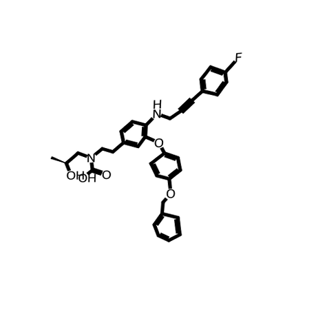 C[C@H](O)CN(CCc1ccc(NCC#Cc2ccc(F)cc2)c(Oc2ccc(OCc3ccccc3)cc2)c1)C(=O)O